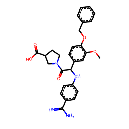 COc1cc(C(Nc2ccc(C(=N)N)cc2)C(=O)N2CCC(C(=O)O)C2)ccc1OCc1ccccc1